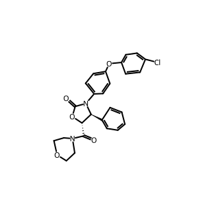 O=C([C@@H]1OC(=O)N(c2ccc(Oc3ccc(Cl)cc3)cc2)[C@H]1c1ccccc1)N1CCOCC1